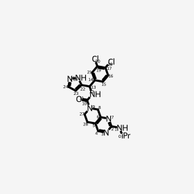 CC(C)Nc1ncc2c(n1)CN(C(=O)NC(c1ccc(Cl)c(Cl)c1)c1ccn[nH]1)CC2